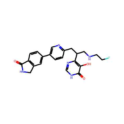 O=C1NCc2cc(-c3ccc(CC(CNCCF)c4nc[nH]c(=O)c4O)nc3)ccc21